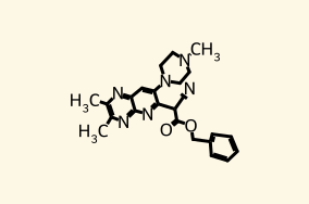 Cc1nc2cc(N3CCN(C)CC3)c(C(C#N)C(=O)OCc3ccccc3)nc2nc1C